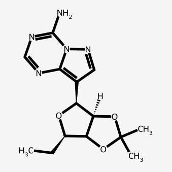 CC[C@H]1O[C@@H](c2cnn3c(N)ncnc23)[C@H]2OC(C)(C)OC12